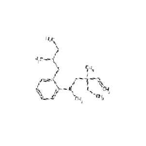 C=CC(C)(CC)CN(C)c1ccccc1CC(C)CC